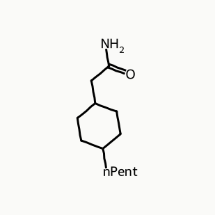 CCCCCC1CCC(CC(N)=O)CC1